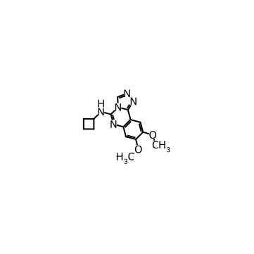 COc1cc2nc(NC3CCC3)n3cnnc3c2cc1OC